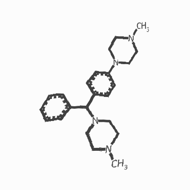 CN1CCN(c2ccc(C(c3ccccc3)N3CCN(C)CC3)cc2)CC1